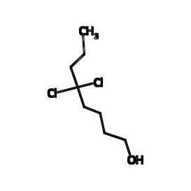 CCCC(Cl)(Cl)CCCCO